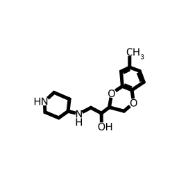 Cc1ccc2c(c1)OC(C(O)CNC1CCNCC1)CO2